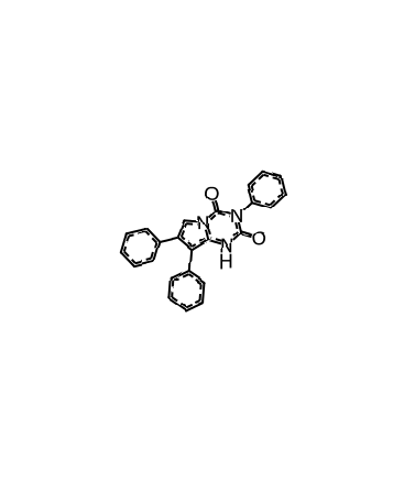 O=c1[nH]c2c(-c3ccccc3)c(-c3ccccc3)cn2c(=O)n1-c1ccccc1